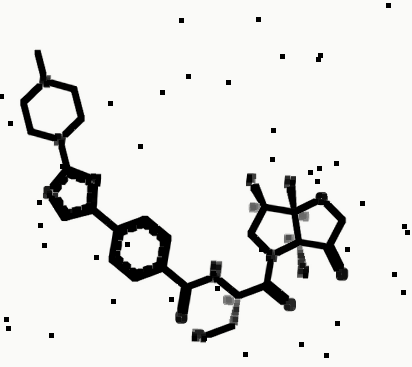 CC(C)C[C@H](NC(=O)c1ccc(-c2csc(N3CCN(C)CC3)n2)cc1)C(=O)N1C[C@@H](F)[C@@H]2OCC(=O)[C@H]21